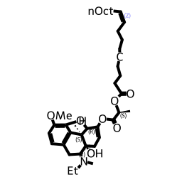 CCCCCCCC/C=C\CCCCCCCC(=O)O[C@@H](C)C(=O)OC1=CC[C@@]2(O)[C@H](N(C)CC)Cc3ccc(OC)c4c3[C@@]2(C)[C@H]1O4